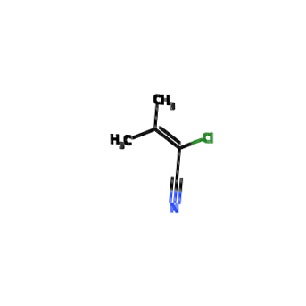 CC(C)=C(Cl)C#N